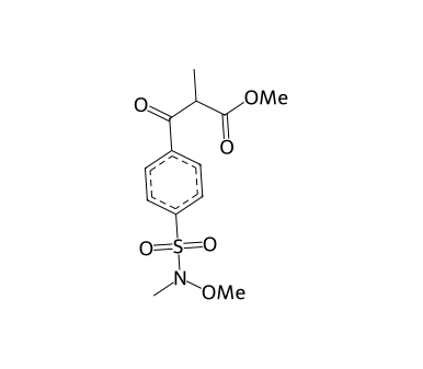 COC(=O)C(C)C(=O)c1ccc(S(=O)(=O)N(C)OC)cc1